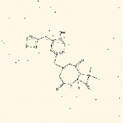 COc1ccc(CN2CC(=O)NC3(C)C(=O)C(C)(C)N3C(=O)C2)cc1Cn1cccn1